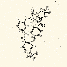 O=C(NCc1cccc(OCc2ccc(C(F)(F)F)cc2)c1)[C@@H]1CC(F)(F)CN1S(=O)(=O)c1ccc(F)cc1